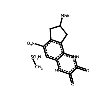 CNC1Cc2c([N+](=O)[O-])cc3[nH]c(=O)c(=O)[nH]c3c2C1.CS(=O)(=O)O